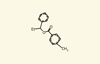 CCC(OC(=O)c1ccc(C)cc1)c1ccccc1